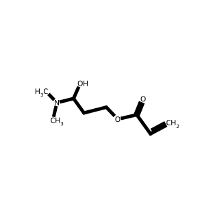 C=CC(=O)OCCC(O)N(C)C